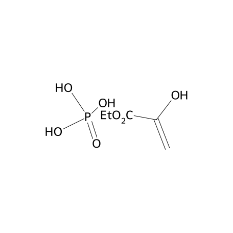 C=C(O)C(=O)OCC.O=P(O)(O)O